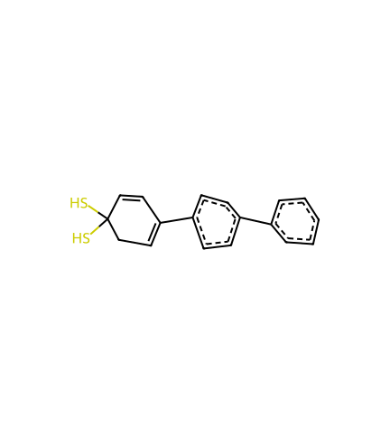 SC1(S)C=CC(c2ccc(-c3ccccc3)cc2)=CC1